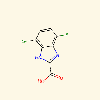 O=C(O)c1nc2c(F)ccc(Cl)c2[nH]1